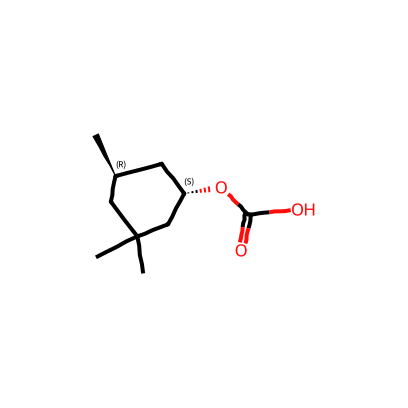 C[C@H]1C[C@H](OC(=O)O)CC(C)(C)C1